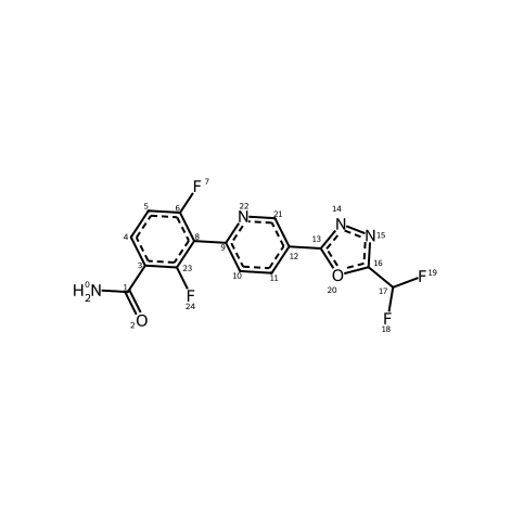 NC(=O)c1ccc(F)c(-c2ccc(-c3nnc(C(F)F)o3)cn2)c1F